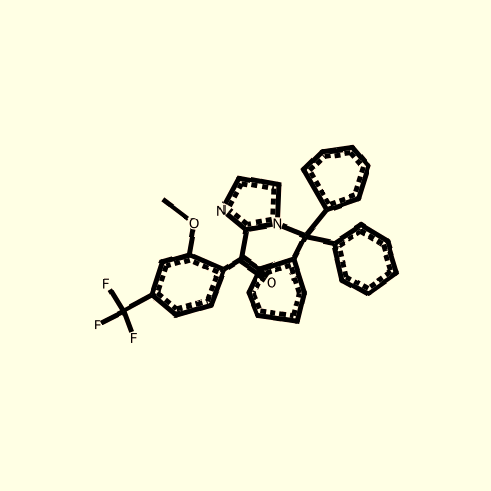 COc1cc(C(F)(F)F)ccc1C(=O)c1nccn1C(c1ccccc1)(c1ccccc1)c1ccccc1